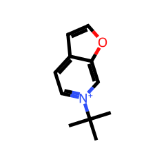 CC(C)(C)[n+]1ccc2ccoc2c1